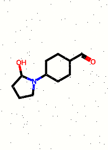 O=[C]C1CCC(N2CCCC2O)CC1